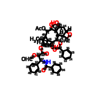 CC(=O)O[C@H]1C(=O)[C@@]2(C)[C@H]([C@H](OC(=O)c3ccccc3)[C@]3(O)C[C@H](OC(=O)[C@H](OC=O)[C@@H](NC(=O)c4ccccc4)c4ccccc4)C(C)=C1C3(C)C)[C@]1(OC(C)=O)CO[C@@H]1C[C@@H]2O